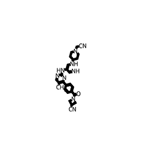 Cc1cnc(N/C(C=N)=C/NC2CCN(CC#N)CC2)nc1-c1ccc(C(=O)N2CC(C#N)C2)cc1